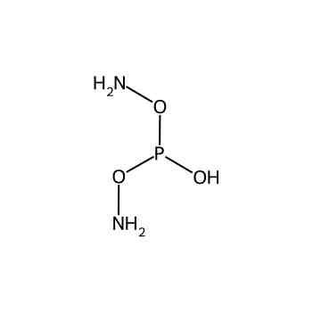 NOP(O)ON